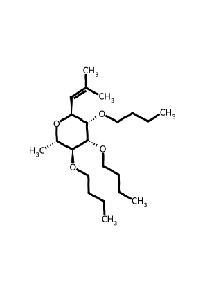 CCCCO[C@@H]1[C@@H](OCCCC)[C@H](C)O[C@@H](C=C(C)C)[C@@H]1OCCCC